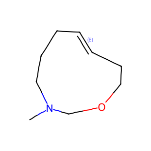 CN1CCC/C=C/CCOC1